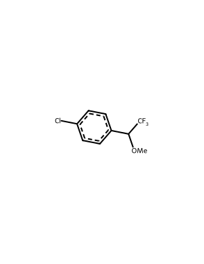 COC(c1ccc(Cl)cc1)C(F)(F)F